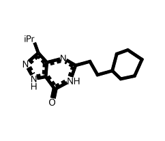 CC(C)c1n[nH]c2c(=O)[nH]c(CCC3CCCCC3)nc12